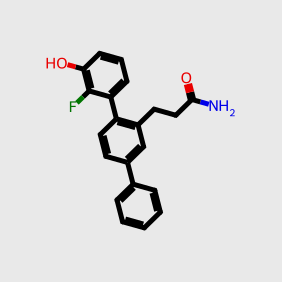 NC(=O)CCc1cc(-c2ccccc2)ccc1-c1cccc(O)c1F